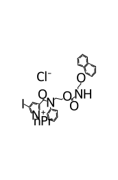 CCC[n+]1cc(I)cc(C(=O)N(CCOC(=O)NCCOc2cccc3ccccc23)c2ccccc2)c1.[Cl-]